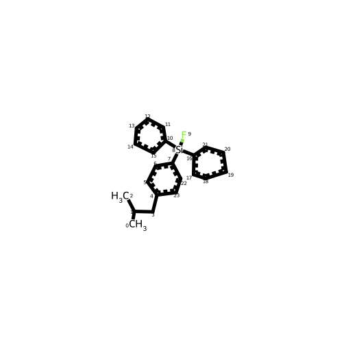 CC(C)Cc1ccc([Si](F)(c2ccccc2)c2ccccc2)cc1